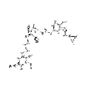 CCOC(=O)N(COCCCS(=O)(=O)NCCCc1ccc(F)c(OCC2CC2)c1)CC(=O)O